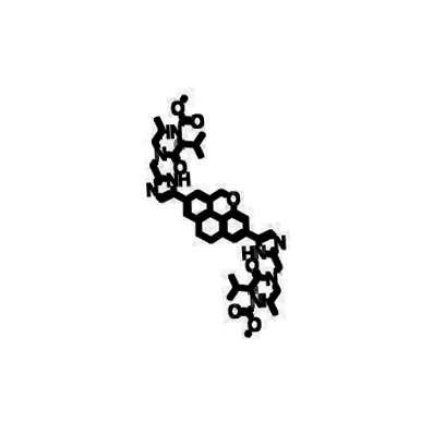 CCCN(Cc1ncc(-c2cc3c4c(c2)COc2cc(-c5cnc(CN(CCC)C(=O)[C@@H](NC(=O)OC)C(C)C)[nH]5)cc(c2-4)CC3)[nH]1)C(=O)[C@@H](NC(=O)OC)C(C)C